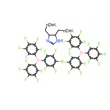 CCCCCCCCCCCC1N=CNC1CCCCCCCCCCC.Fc1c(F)c(F)c(B(c2c(F)c(F)c(F)c(F)c2F)c2c(F)c(F)c(F)c(F)c2F)c(F)c1F.Fc1c(F)c(F)c(B(c2c(F)c(F)c(F)c(F)c2F)c2c(F)c(F)c(F)c(F)c2F)c(F)c1F